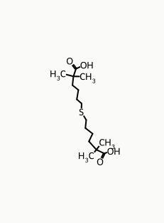 CC(C)(CCCCSCCCCC(C)(C)C(=O)O)C(=O)O